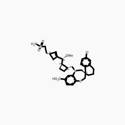 CO[C@@H](C1=C[C@@H](CCS(N)(=O)=O)C1)[C@@H]1CC[C@H]1CN1C[C@@]2(CCCc3cc(Cl)ccc32)COc2ccc(C(=O)O)cc21